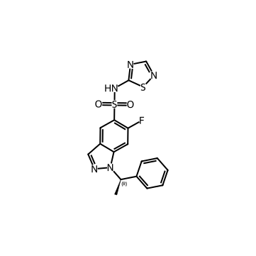 C[C@H](c1ccccc1)n1ncc2cc(S(=O)(=O)Nc3ncns3)c(F)cc21